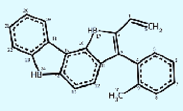 C=CC1=C(c2ccccc2C)c2ccc3c(c2B1)-c1ccccc1B3